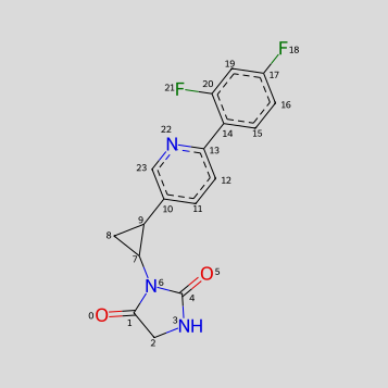 O=C1CNC(=O)N1C1CC1c1ccc(-c2ccc(F)cc2F)nc1